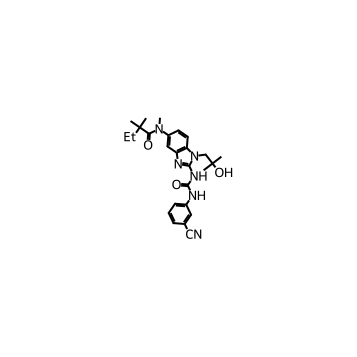 CCC(C)(C)C(=O)N(C)c1ccc2c(c1)nc(NC(=O)Nc1cccc(C#N)c1)n2CC(C)(C)O